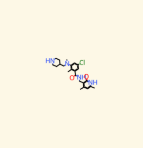 Cc1cc(C)c(CNC(=O)c2cc(Cl)cc(N(C)CC3CCNCC3)c2C)c(=O)[nH]1